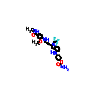 CNC(=O)c1ccc(NCC#Cc2cc3c(NC4CCC(OC(N)=O)CC4)cccc3n2CC(F)(F)F)c(OC)c1